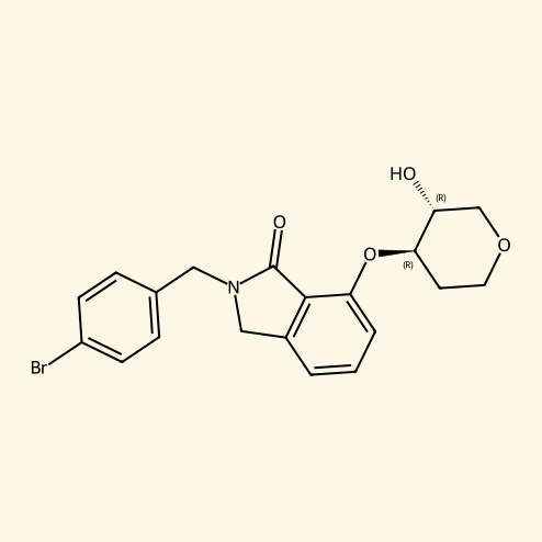 O=C1c2c(cccc2O[C@@H]2CCOC[C@H]2O)CN1Cc1ccc(Br)cc1